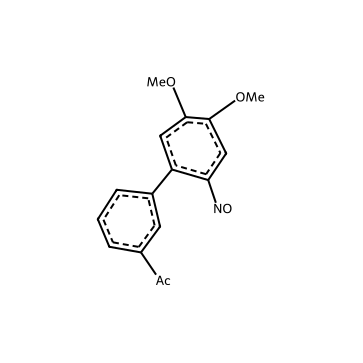 COc1cc(N=O)c(-c2cccc(C(C)=O)c2)cc1OC